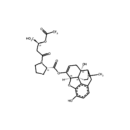 CN1CC[C@]23c4c5ccc(O)c4O[C@H]2C(OC(=O)[C@@H]2CCCN2C(=O)C[C@H](OC(=O)C(F)(F)F)C(=O)O)=CC[C@@]3(O)C1C5